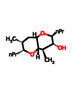 CCC[C@@H]1O[C@H]2C[C@@H](C)[C@@H](CCC)O[C@H]2[C@H](C)[C@H]1O